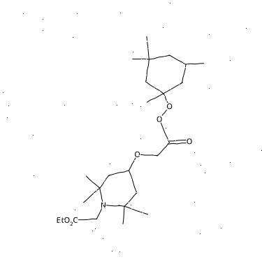 CCOC(=O)CN1C(C)(C)CC(OCC(=O)OOC2(C)CC(C)CC(C)(C)C2)CC1(C)C